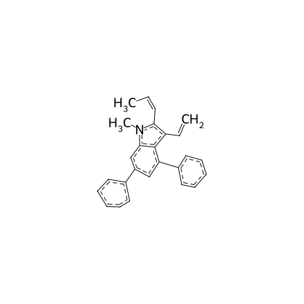 C=Cc1c(/C=C\C)n(C)c2cc(-c3ccccc3)cc(-c3ccccc3)c12